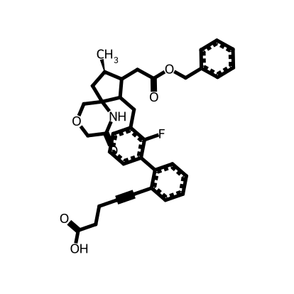 C[C@@H]1CC2(COCC(=O)N2)C(Cc2cccc(-c3ccccc3C#CCCC(=O)O)c2F)C1CC(=O)OCc1ccccc1